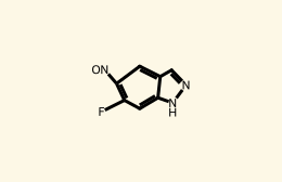 O=Nc1cc2cn[nH]c2cc1F